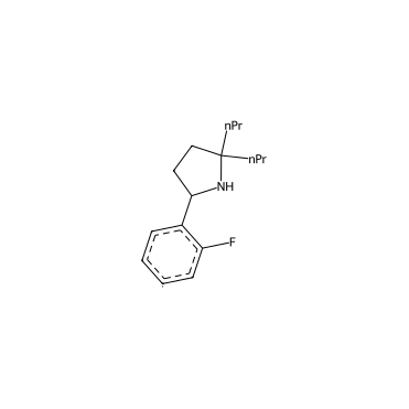 CCCC1(CCC)CCC(c2cc[c]cc2F)N1